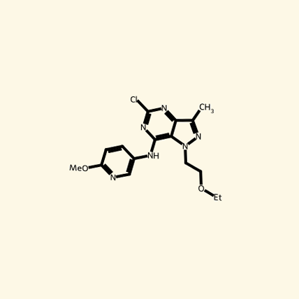 CCOCCn1nc(C)c2nc(Cl)nc(Nc3ccc(OC)nc3)c21